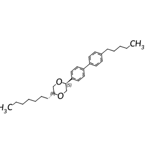 CCCCCCC[C@@H]1CO[C@@H](c2ccc(-c3ccc(CCCCC)cc3)cc2)CO1